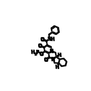 O=C(NCc1ccccc1)c1cn2c(c(OP)c1=O)C(=O)N1C[C@H]3CCCCC3[C@H]1C2